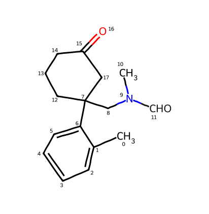 Cc1ccccc1C1(CN(C)C=O)CCCC(=O)C1